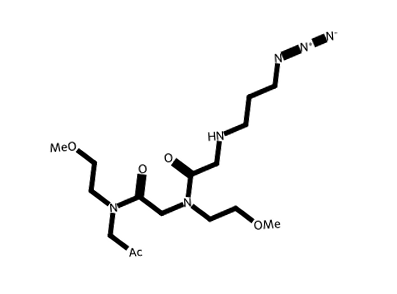 COCCN(CC(C)=O)C(=O)CN(CCOC)C(=O)CNCCCN=[N+]=[N-]